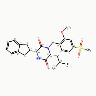 COc1cc(S(C)(=O)=O)ccc1CN1C(=O)[C@@H](C2Cc3ccccc3C2)NC(=O)[C@H]1CC(C)C